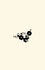 COc1cc(-c2ccnc3cn(-c4ccc(F)cc4)nc23)ccc1C(=O)O